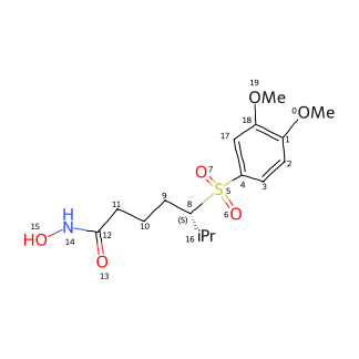 COc1ccc(S(=O)(=O)[C@@H](CCCC(=O)NO)C(C)C)cc1OC